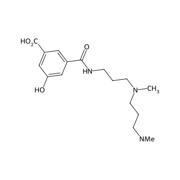 CNCCCN(C)CCCNC(=O)c1cc(O)cc(C(=O)O)c1